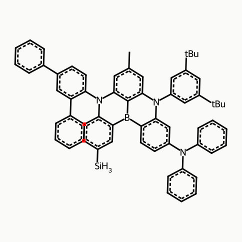 Cc1cc2c3c(c1)N(c1ccc(-c4ccccc4)cc1-c1ccccc1)c1ccc([SiH3])cc1B3c1ccc(N(c3ccccc3)c3ccccc3)cc1N2c1cc(C(C)(C)C)cc(C(C)(C)C)c1